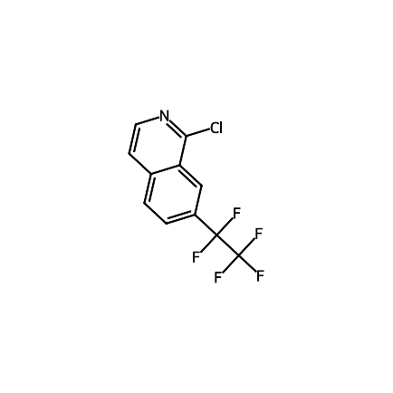 FC(F)(F)C(F)(F)c1ccc2ccnc(Cl)c2c1